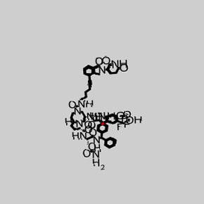 NC(=O)OC[C@H](NC(=O)[C@@H]1CC[C@@H]2CCN(C(=O)NCCCCC#Cc3cccc4c3CN(C3CCC(=O)NC3=O)C4=O)C[C@H](NC(=O)c3cc4cc(C(F)(F)P(=O)(O)O)ccc4[nH]3)C(=O)N21)C(=O)NC(c1ccccc1)c1ccccc1